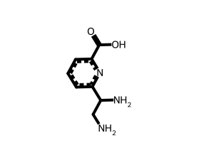 NCC(N)c1cccc(C(=O)O)n1